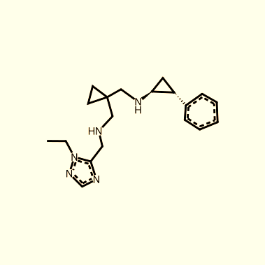 CCn1ncnc1CNCC1(CN[C@H]2C[C@@H]2c2ccccc2)CC1